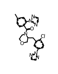 Cc1ccc(C(=O)N2CCOCC2Cc2cc(-n3nccn3)ccc2Cl)c(-n2nccn2)c1